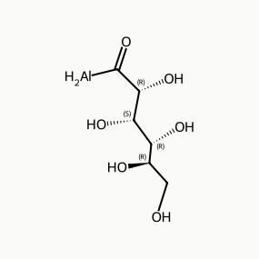 O=[C]([AlH2])[C@H](O)[C@@H](O)[C@H](O)[C@H](O)CO